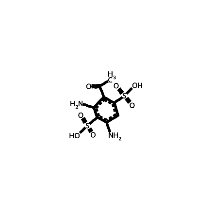 CC(=O)c1c(S(=O)(=O)O)cc(N)c(S(=O)(=O)O)c1N